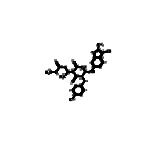 CCn1c(C)nc2cc(NC3NC(=O)N([C@@H](C)CC(=O)ON)C(=O)N3Cc3ccc(Cl)cc3)ccc21